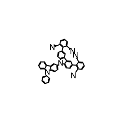 N#Cc1cccc(C#N)c1-c1ccc2c(c1)c1cc(-c3c(C#N)cccc3C#N)ccc1n2-c1ccc2c(c1)c1ccccc1n2-c1ccccc1